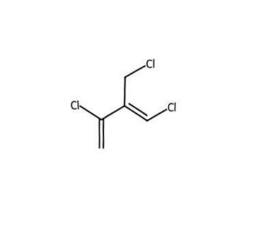 C=C(Cl)C(=CCl)CCl